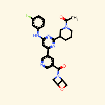 CC(=O)N1CCCC(c2nc(Nc3cccc(F)c3)cc(-c3cncc(C(=O)N4CC5OCC54)c3)n2)C1